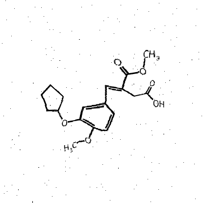 COC(=O)/C(=C/c1ccc(OC)c(OC2CCCC2)c1)CC(=O)O